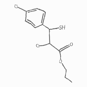 CCCOC(=O)C(Cl)C(S)c1ccc(Cl)cc1